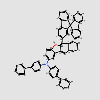 c1ccc(-c2ccc(N(c3ccc(-c4ccccc4)cc3)c3ccc4oc5c(-c6ccc7c(c6)C6(c8ccccc8-c8ccccc86)c6ccccc6-7)c6ccccc6cc5c4c3)cc2)cc1